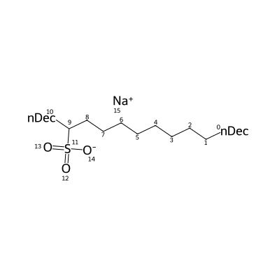 CCCCCCCCCCCCCCCCCCC(CCCCCCCCCC)S(=O)(=O)[O-].[Na+]